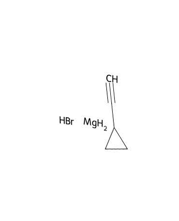 Br.C#CC1CC1.[MgH2]